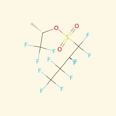 C[C@H](OS(=O)(=O)C(F)(F)C(F)(F)C(F)(F)C(F)(F)F)C(F)(F)F